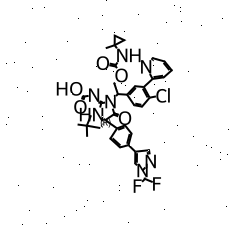 CC(C)(C)C[C@]1(c2ccc(-c3cnn(C(F)F)c3)cc2)NC(=NC(=O)O)N(C(COC(=O)NC2(C)CC2)c2ccc(Cl)c(-c3ccccn3)c2)C1=O